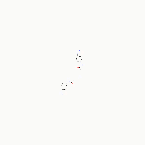 CCN(CCC(=O)Nc1ccc2nc(S)oc2c1)CCC(=O)Nc1ccc2nc(S)oc2c1